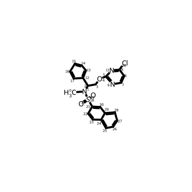 CN(C(COc1nccc(Cl)n1)c1ccccc1)S(=O)(=O)c1ccc2ccccc2c1